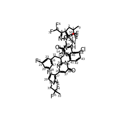 CC1Cc2c(C(F)F)nn(CC(=O)NC(Cc3cc(F)cc(F)c3)c3nc(-c4ccn(CC(C)(F)F)n4)cc(=O)n3-c3ccc(Cl)c4c(N[S+](C)[O-])nn(C)c34)c2C1(F)F